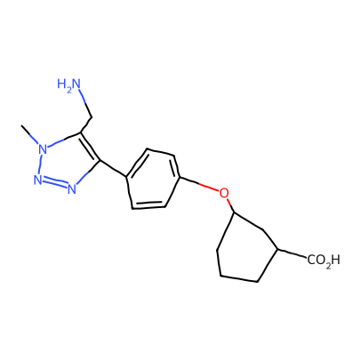 Cn1nnc(-c2ccc(OC3CCCC(C(=O)O)C3)cc2)c1CN